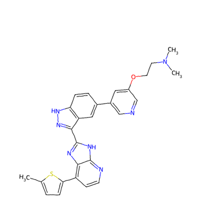 Cc1ccc(-c2ccnc3[nH]c(-c4n[nH]c5ccc(-c6cncc(OCCN(C)C)c6)cc45)nc23)s1